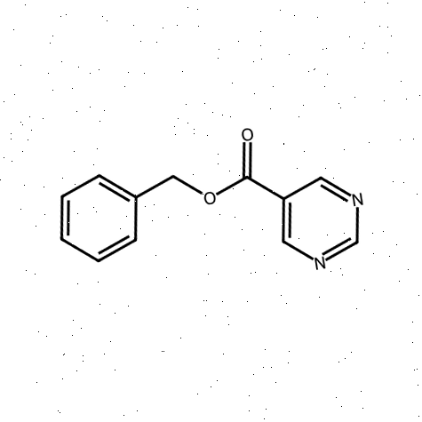 O=C(OCc1ccccc1)c1cncnc1